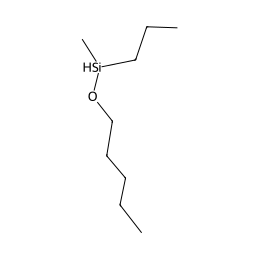 CCCCCO[SiH](C)CCC